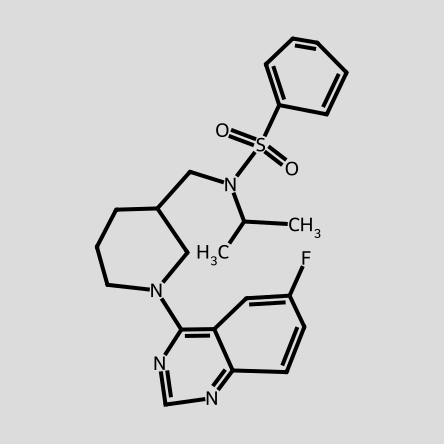 CC(C)N(CC1CCCN(c2ncnc3ccc(F)cc23)C1)S(=O)(=O)c1ccccc1